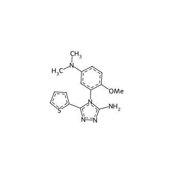 COc1ccc(N(C)C)cc1-n1c(N)nnc1-c1cccs1